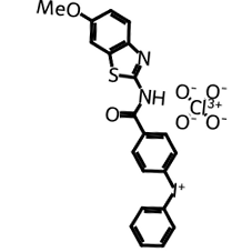 COc1ccc2nc(NC(=O)c3ccc([I+]c4ccccc4)cc3)sc2c1.[O-][Cl+3]([O-])([O-])[O-]